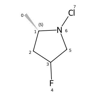 C[C@H]1CC(F)CN1Cl